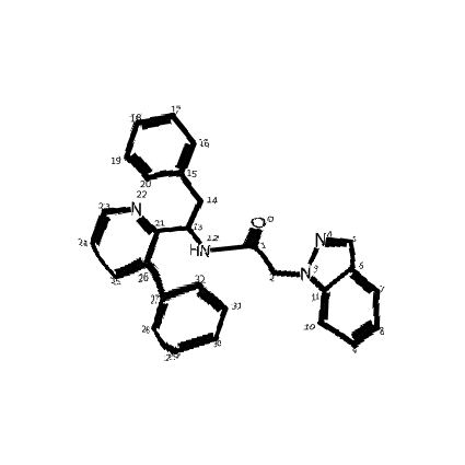 O=C(Cn1ncc2ccccc21)NC(Cc1ccccc1)c1ncccc1-c1ccccc1